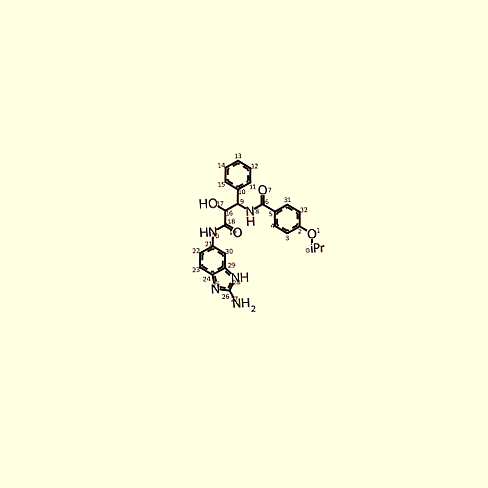 CC(C)Oc1ccc(C(=O)NC(c2ccccc2)C(O)C(=O)Nc2ccc3nc(N)[nH]c3c2)cc1